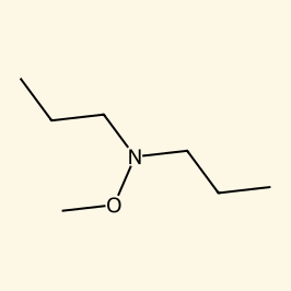 CCCN(CCC)OC